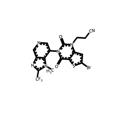 Cn1c(C(F)(F)F)nc2cncc(-n3c(=O)c4sc(Br)cc4n(CCC#N)c3=O)c21